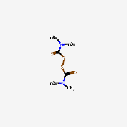 CCCCN(C)C(=S)SSC(=S)N(CCCC)CCCC